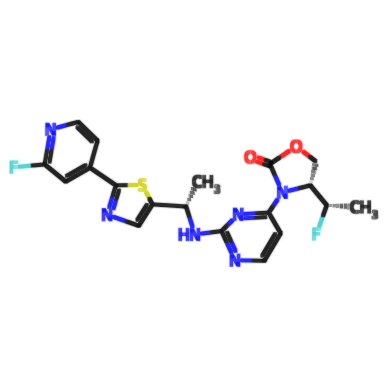 C[C@H](Nc1nccc(N2C(=O)OC[C@@H]2[C@H](C)F)n1)c1cnc(-c2ccnc(F)c2)s1